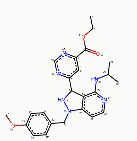 CCOC(=O)c1cc(C2NN(Cc3ccc(OC)cc3)c3ccnc(NC(C)C)c32)ncn1